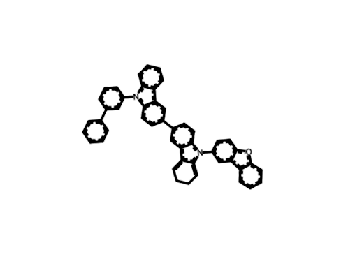 C1=c2c(n(-c3ccc4oc5ccccc5c4c3)c3ccc(-c4ccc5c(c4)c4ccccc4n5-c4cccc(-c5ccccc5)c4)cc23)=CCC1